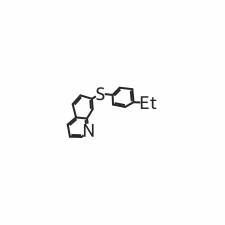 CCc1ccc(Sc2ccc3cccnc3c2)cc1